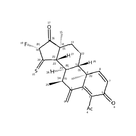 C=C1C2=C(C(C)=O)C(=O)C=C[C@]2(C)[C@H]2CC[C@]3(C)C(=O)[C@@H](F)C(=S)[C@H]3[C@@H]2[C@@H]1C